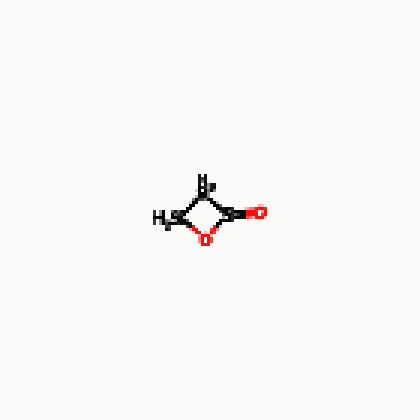 O=[Si]1O[SiH2][SiH2]1